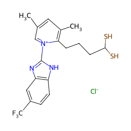 Cc1cc(C)c(CCCC(S)S)[n+](-c2nc3cc(C(F)(F)F)ccc3[nH]2)c1.[Cl-]